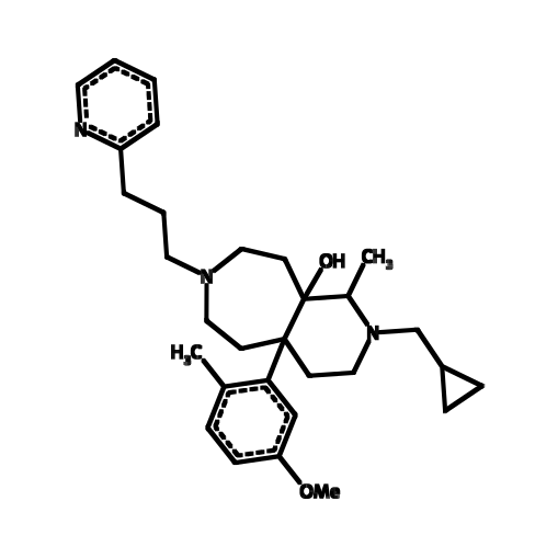 COc1ccc(C)c(C23CCN(CCCc4ccccn4)CCC2(O)C(C)N(CC2CC2)CC3)c1